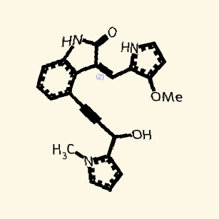 COc1cc[nH]c1/C=C1\C(=O)Nc2cccc(C#CC(O)c3cccn3C)c21